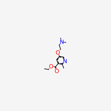 CCOC(=O)c1cc(OCCN(C)C)cnc1C